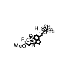 COCCC/N=C1/CCc2c(CCO[Si](C)(C)C(C)(C)C)ccc(S(=O)(=O)C(F)(F)F)c21